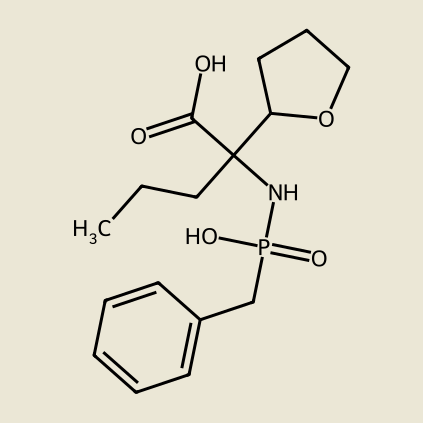 CCCC(NP(=O)(O)Cc1ccccc1)(C(=O)O)C1CCCO1